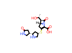 C[C@@H](O)[C@H]1C(=O)N2C(C(=O)O)=C(S[C@@H]3CN[C@H](C4CNC(=O)C4)C3)C[C@H]12